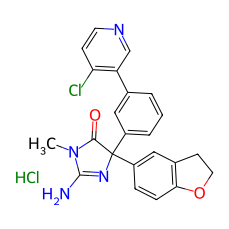 CN1C(=O)C(c2cccc(-c3cnccc3Cl)c2)(c2ccc3c(c2)CCO3)N=C1N.Cl